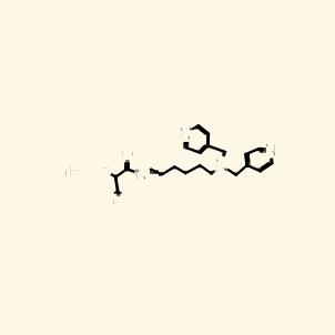 C#CC(CCCCCCC)C(=O)NCCCCCCN(Cc1ccncc1)Cc1ccncc1